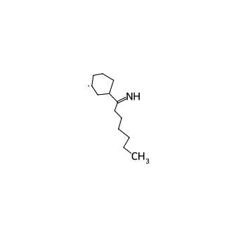 CCCCCCC(=N)C1C[CH]CCC1